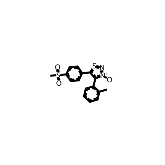 Cc1ccccc1-c1c(-c2ccc(S(C)(=O)=O)cc2)sn[n+]1[O-]